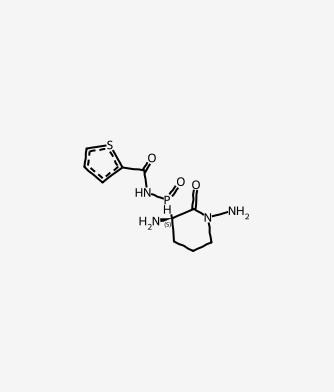 NN1CCC[C@](N)([PH](=O)NC(=O)c2cccs2)C1=O